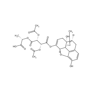 CC(=O)O[C@@H](C(=O)OC1=CC[C@@]2(O)[C@H]3Cc4ccc(O)c5c4[C@@]2(CCC3C)[C@H]1O5)[C@@H](OC(C)=O)C(=O)O[C@@H](C)C(=O)O